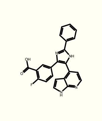 O=C(O)c1cc(-c2nc(-c3ccccc3)[nH]c2-c2ccnc3[nH]ccc23)ccc1F